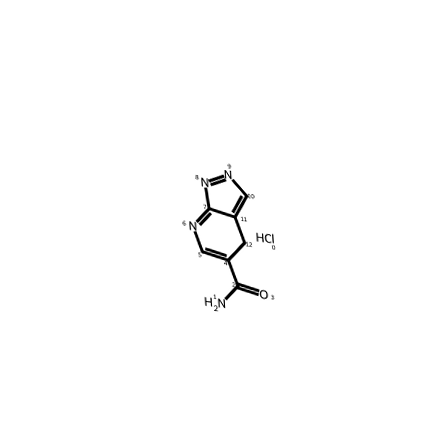 Cl.NC(=O)C1=CN=C2N=NC=C2C1